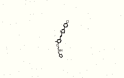 Cc1cc(C#Cc2ccc(-c3ccc(Cl)cc3)cn2)ccc1OCCNCC1CCCC1